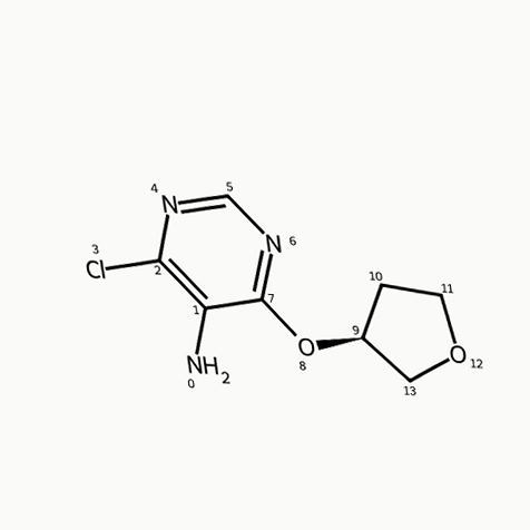 Nc1c(Cl)ncnc1O[C@H]1CCOC1